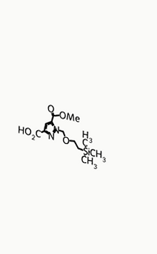 COC(=O)c1cc(C(=O)O)nn1COCC[Si](C)(C)C